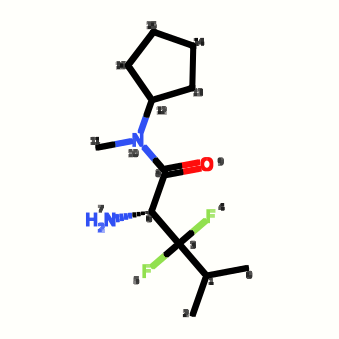 CC(C)C(F)(F)[C@H](N)C(=O)N(C)C1CCCC1